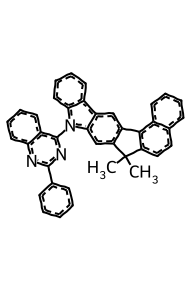 CC1(C)c2cc3c(cc2-c2c1ccc1ccccc21)c1ccccc1n3-c1nc(-c2ccccc2)nc2ccccc12